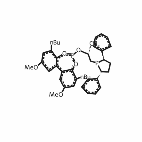 CCCCc1cc(OC)cc2c1op(O[C@H](C)CP1[C@@H](c3ccccc3)CC[C@@H]1c1ccccc1)oc1c(CCCC)cc(OC)cc12